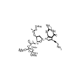 COP(=O)(O)OP(=O)(OC)OP(=O)(OC)OC[C@H]1O[C@@H](n2cc(C#CCN)c3c(=O)[nH]c(N)nc32)CC1O[C@@H](C)SSC